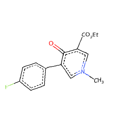 CCOC(=O)c1cn(C)cc(-c2ccc(F)cc2)c1=O